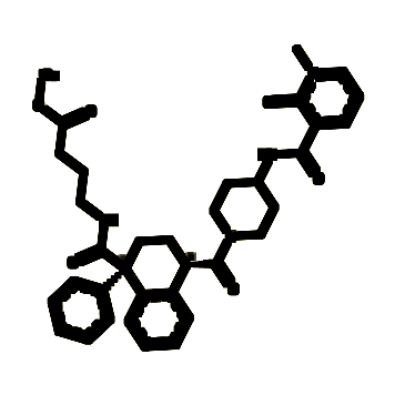 Cn1cccc(C(=O)NC2CCN(C(=O)[C@H]3CC[C@@](C(=O)NCCCC(=O)OC(C)(C)C)(c4ccccc4)c4ccccc43)CC2)c1=O